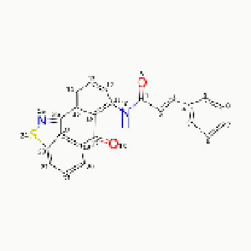 O=C(C=Cc1ccccc1)Nc1cccc2c1C(=O)c1cccc3snc-2c13